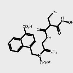 C=C(CNC(=O)C(CC(C)C)C(=O)NO)N(CCCCC)Cc1ccc(C(=O)O)c2ccccc12